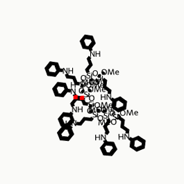 CO[Si](CCCNc1ccccc1)(OC)O[Si](CCCNc1ccccc1)(OC)O[Si](CCCNc1ccccc1)(OC)O[Si](CCCNc1ccccc1)(OC)O[Si](CCCNc1ccccc1)(OC)O[Si](CCCNc1ccccc1)(OC)O[Si](CCCNc1ccccc1)(OC)O[Si](CCCNc1ccccc1)(OC)OC